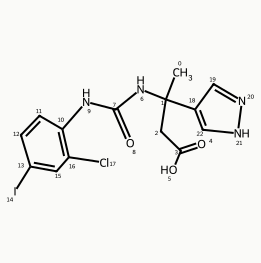 CC(CC(=O)O)(NC(=O)Nc1ccc(I)cc1Cl)c1cn[nH]c1